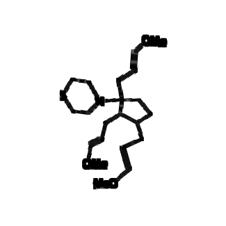 COC=CCC1CCC(CC=COC)(N2CCSCC2)C1CC=COC